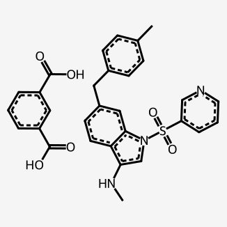 CNc1cn(S(=O)(=O)c2cccnc2)c2cc(Cc3ccc(C)cc3)ccc12.O=C(O)c1cccc(C(=O)O)c1